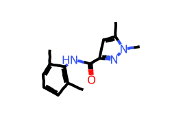 Cc1cccc(C)c1NC(=O)c1cc(C)n(C)n1